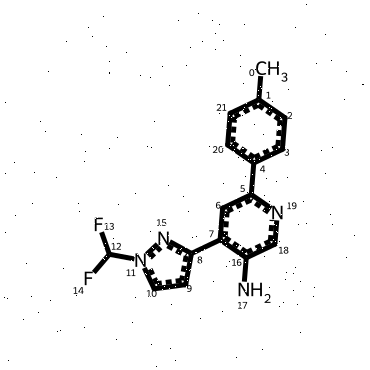 Cc1ccc(-c2cc(-c3ccn(C(F)F)n3)c(N)cn2)cc1